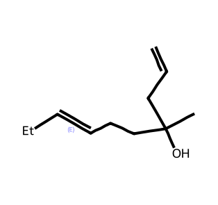 C=CCC(C)(O)CC/C=C/CC